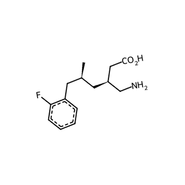 C[C@H](Cc1ccccc1F)C[C@H](CN)CC(=O)O